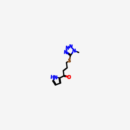 Cn1nnnc1SCCCC(=O)c1ccc[nH]1